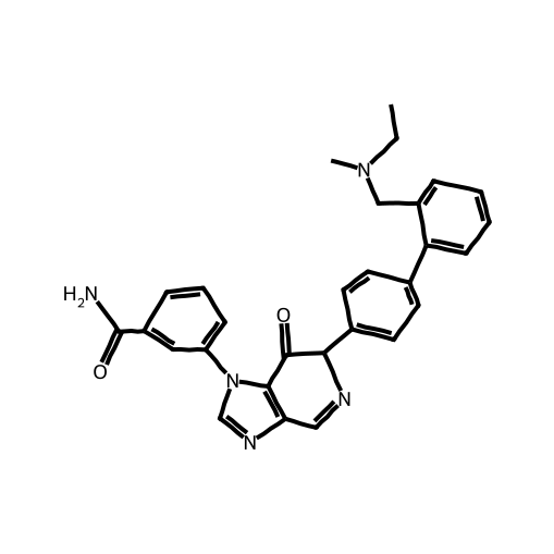 CCN(C)Cc1ccccc1-c1ccc(C2N=Cc3ncn(-c4cccc(C(N)=O)c4)c3C2=O)cc1